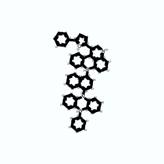 c1ccc(-c2ccc(-c3cnc4cccc5c4c3-c3ccccc3B5c3ccc(N4c5ccccc5N(c5ccccc5)c5ccccc54)c4ccccc34)o2)cc1